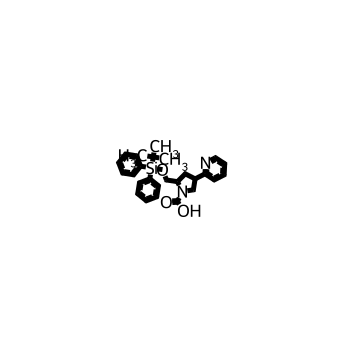 CC(C)(C)[Si](OCC1CC(c2ccccn2)CN1C(=O)O)(c1ccccc1)c1ccccc1